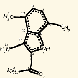 COC(=O)c1[nH]c2c(C)ccc(C)c2c1N